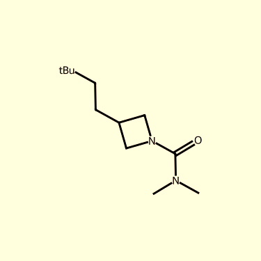 CN(C)C(=O)N1CC(CCC(C)(C)C)C1